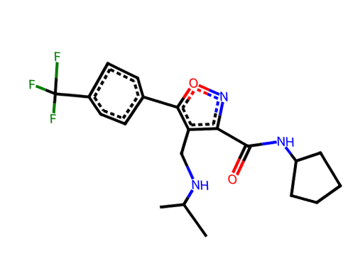 CC(C)NCc1c(C(=O)NC2CCCC2)noc1-c1ccc(C(F)(F)F)cc1